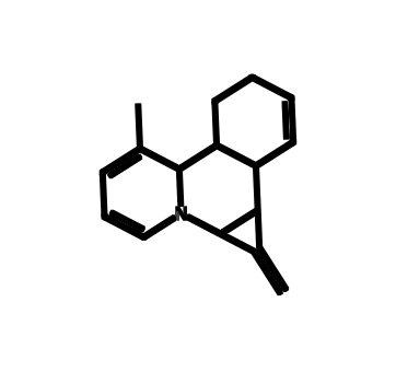 C=C1C2C3C=CCCC3C3C(C)=CC=CN3C12